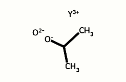 CC(C)[O-].[O-2].[Y+3]